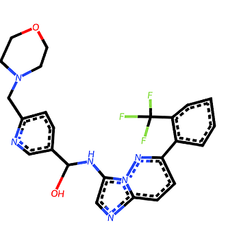 OC(Nc1cnc2ccc(-c3ccccc3C(F)(F)F)nn12)c1ccc(CN2CCOCC2)nc1